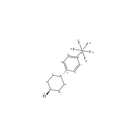 CC[C@H]1CC[C@H](c2ccc(S(F)(F)(F)(F)F)cc2)CC1